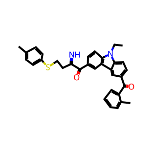 CCn1c2ccc(C(=O)C(=N)CCSc3ccc(C)cc3)cc2c2cc(C(=O)c3ccccc3C)ccc21